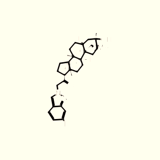 COC[C@]12CC[C@@](C)(O)C[C@H]1CC[C@@H]1[C@@H]2CC[C@]2(C)[C@@H](C(=O)Cn3cc4ccc(F)cc4n3)CC[C@@]12C